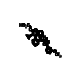 O=C(O)COC(=O)N(C1CC1)[C@H]1c2ccccc2N(c2nnc(-c3cccc(OC(F)(F)F)c3)o2)[C@@H]2CCC[C@@H]21